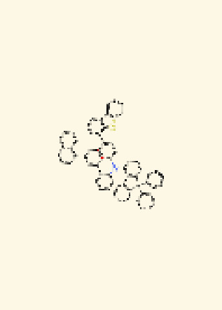 C1=CC2=C(CC1)C(c1ccccc1)(c1ccccc1)c1cccc(N(c3ccc(-c4cccc5c4sc4ccccc45)cc3)c3ccccc3-c3cccc(-c4cccc5ccccc45)c3)c12